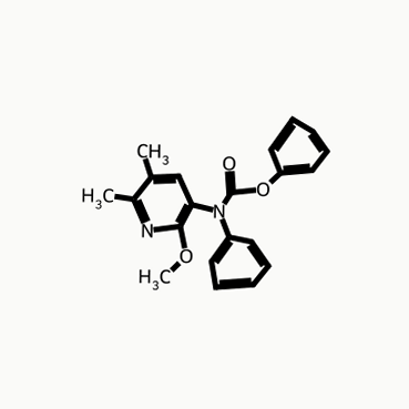 COc1nc(C)c(C)cc1N(C(=O)Oc1ccccc1)c1ccccc1